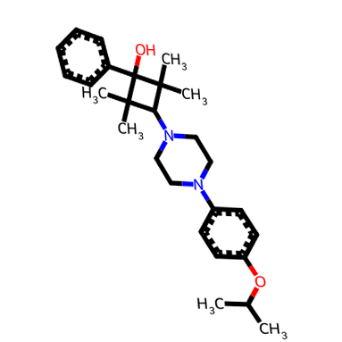 CC(C)Oc1ccc(N2CCN(C3C(C)(C)C(O)(c4ccccc4)C3(C)C)CC2)cc1